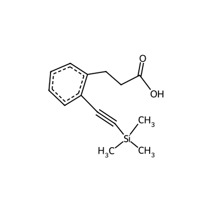 C[Si](C)(C)C#Cc1ccccc1CCC(=O)O